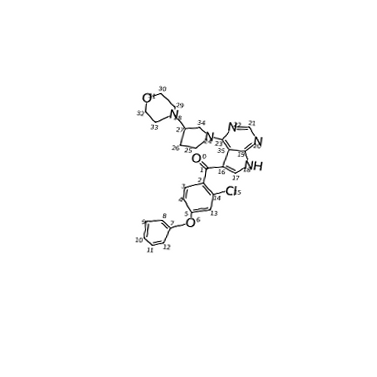 O=C(c1ccc(Oc2ccccc2)cc1Cl)c1c[nH]c2ncnc(N3CCC(N4CCOCC4)C3)c12